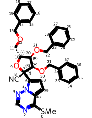 CSc1ncnn2c([C@]3(C#N)O[C@H](COCc4ccccc4)[C@@H](OCc4ccccc4)[C@H]3OCc3ccccc3)ccc12